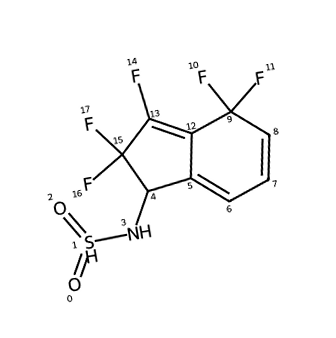 O=[SH](=O)NC1C2=CC=CC(F)(F)C2=C(F)C1(F)F